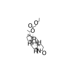 CCOCC(=O)OC(C)[C@H]1CC[C@H]2[C@@H]3CC[C@H]4N(C)C(=O)CC[C@]4(C)[C@H]3CC[C@]12C